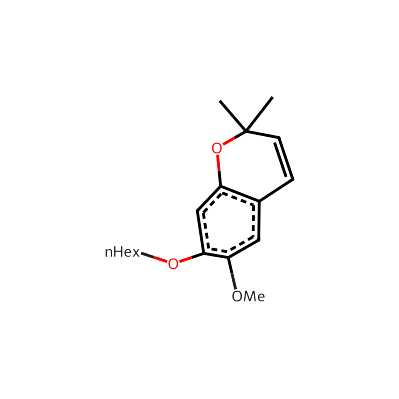 CCCCCCOc1cc2c(cc1OC)C=CC(C)(C)O2